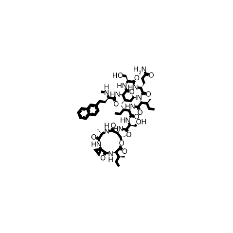 CC[C@H](C)[C@H](NC(=O)[C@@H](CCc1ccc2ccccc2c1)NC)C(=O)N[C@@H](CO)C(=O)N[C@H](CCC(N)=O)C(=O)N[C@@H](C(=O)N[C@H](C(=O)N[C@@H](CO)C(=O)N[C@H]1C(=O)N[C@@H](C)C(=O)NC2(CC2)C(=O)N[C@@H]([C@@H](C)CC)C(=O)O[C@H]1C)[C@@H](C)CC)[C@@H](C)CC